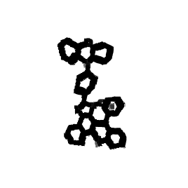 Cn1c(-c2ccc(N3c4ccccc4Oc4ccccc43)cc2)nc2c3ccccc3c3nc4ccccc4c(-c4ccccc4)c3c21